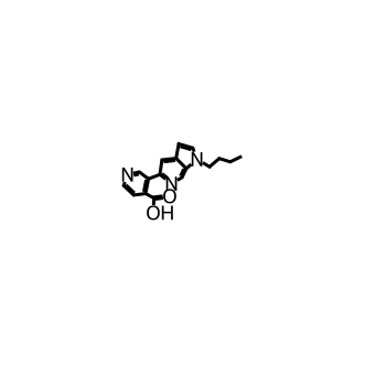 CCCCn1ccc2cc(-c3cnccc3C(=O)O)ncc21